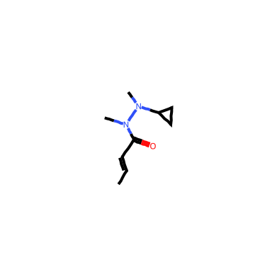 CC=CC(=O)N(C)N(C)C1CC1